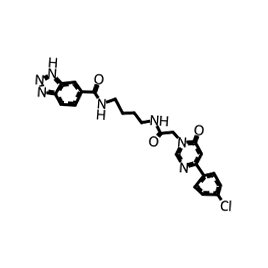 O=C(Cn1cnc(-c2ccc(Cl)cc2)cc1=O)NCCCCNC(=O)c1ccc2nn[nH]c2c1